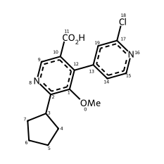 COc1c(C2CCCC2)ncc(C(=O)O)c1-c1ccnc(Cl)c1